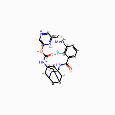 COc1cccc(C(=O)NC23CC4CC(CC(NC(=O)Oc5cncc(C)n5)(C4)C2)C3)c1F